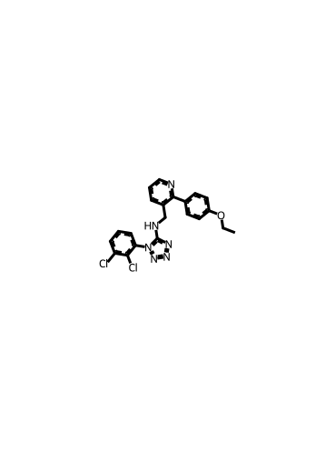 CCOc1ccc(-c2ncccc2CNc2nnnn2-c2cccc(Cl)c2Cl)cc1